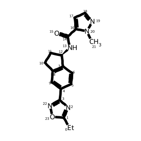 CCc1nc(-c2ccc3c(c2)CC[C@H]3NC(=O)c2ccnn2C)no1